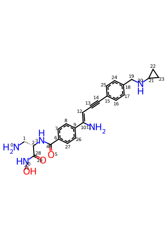 NC[C@H](NC(=O)c1ccc(/C(N)=C/C#Cc2ccc(CNC3CC3)cc2)cc1)C(=O)NO